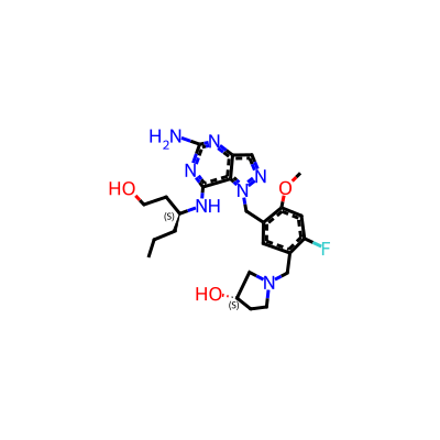 CCC[C@@H](CCO)Nc1nc(N)nc2cnn(Cc3cc(CN4CC[C@H](O)C4)c(F)cc3OC)c12